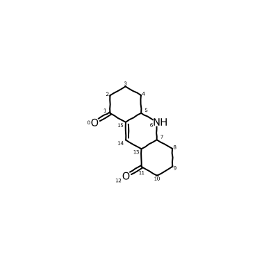 O=C1CCCC2NC3CCCC(=O)C3C=C12